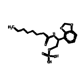 CCCCCCCC(=O)NC(COP(=O)(O)O)c1cccc2c1OCO2